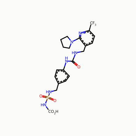 O=C(O)NS(=O)(=O)NCc1ccc(NC(=O)NCc2ccc(C(F)(F)F)nc2N2CCCC2)cc1